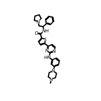 CN1CCN(c2cccc(Nc3nccc(-c4ccc(C(=O)NC(CN5CCCC5)c5ccccc5)s4)n3)c2)CC1